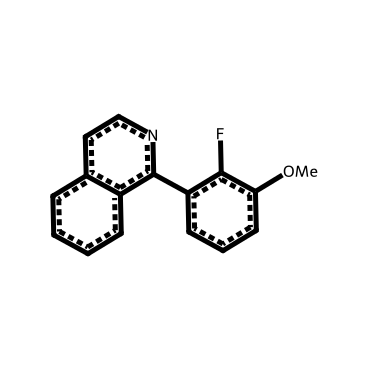 COc1cccc(-c2nccc3ccccc23)c1F